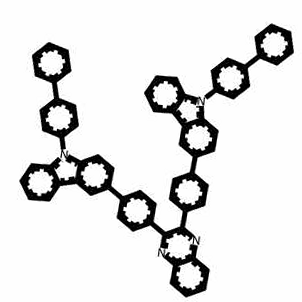 c1ccc(-c2ccc(-n3c4ccccc4c4cc(-c5ccc(-c6nc7ccccc7nc6-c6ccc(-c7ccc8c(c7)c7ccccc7n8-c7ccc(-c8ccccc8)cc7)cc6)cc5)ccc43)cc2)cc1